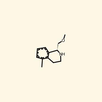 COC[C@@H]1NCCc2c(C)cccc21